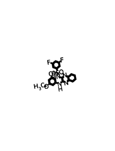 COc1cc(O)cc(Nc2nc3ccccc3nc2NS(=O)(=O)c2cc(F)cc(F)c2)c1